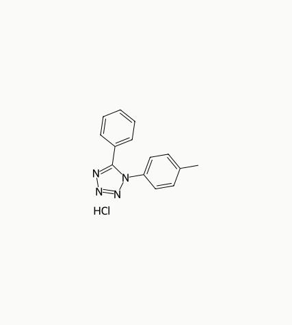 Cc1ccc(-n2nnnc2-c2ccccc2)cc1.Cl